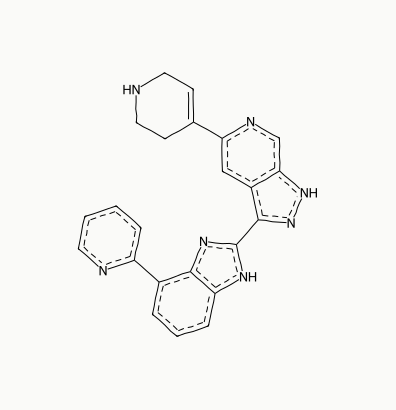 C1=C(c2cc3c(-c4nc5c(-c6ccccn6)cccc5[nH]4)n[nH]c3cn2)CCNC1